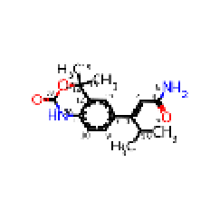 CC(C)C(=CC(N)=O)c1ccc2c(c1)C(C)(C)OC(=O)N2